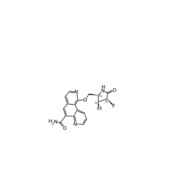 CC[C@@H]1[C@H](F)C(=O)N[C@@H]1COc1nccc2cc(C(N)=O)c3ncccc3c12